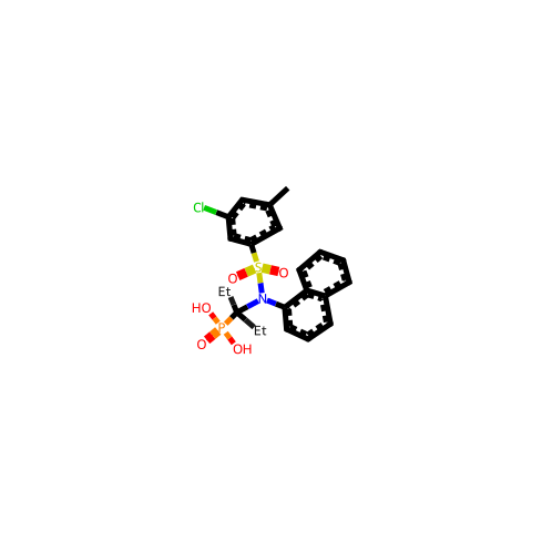 CCC(CC)(N(c1cccc2ccccc12)S(=O)(=O)c1cc(C)cc(Cl)c1)P(=O)(O)O